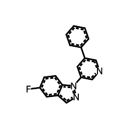 Fc1ccc2c(cnn2-c2cncc(-c3ccccc3)c2)c1